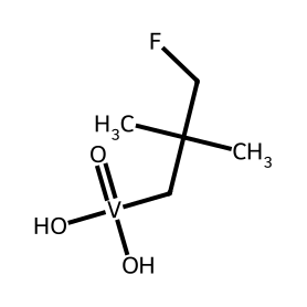 CC(C)(CF)[CH2][V](=[O])([OH])[OH]